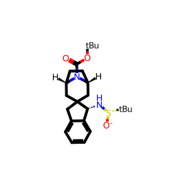 CC(C)(C)OC(=O)N1[C@@H]2CC[C@H]1CC1(Cc3ccccc3[C@H]1N[S@+]([O-])C(C)(C)C)C2